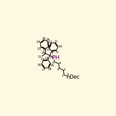 CCCCCCCCCCCCCCCPC(c1ccccc1)(c1ccccc1)C(C)c1ccccc1